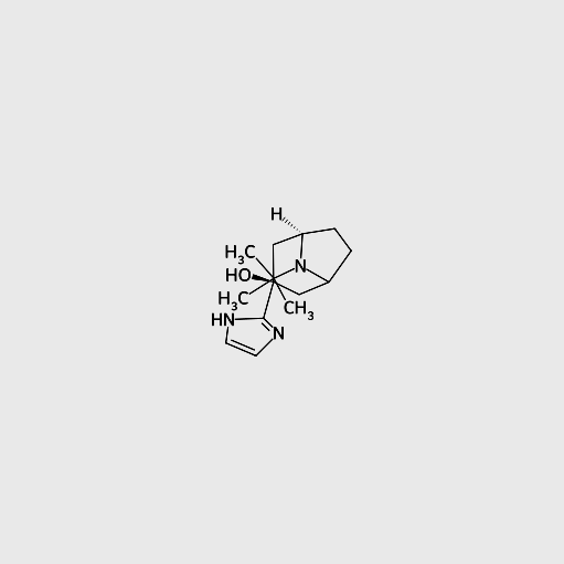 CC(C)(C)N1C2CC[C@@H]1C[C@@](O)(c1ncc[nH]1)C2